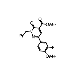 COC(=O)c1cc(-c2ccc(OC)c(F)c2)nn(CC(C)C)c1=O